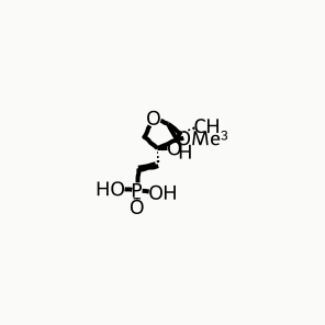 CO[C@@H]1C2OC[C@]1(/C=C/P(=O)(O)O)O[C@H]2C